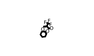 O=C1OC2(CCCCC2)OC=C1C(F)(F)F